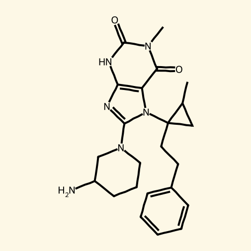 CC1CC1(CCc1ccccc1)n1c(N2CCCC(N)C2)nc2[nH]c(=O)n(C)c(=O)c21